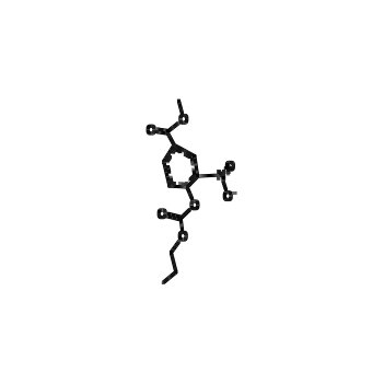 CCCOC(=O)Oc1ccc(C(=O)OC)cc1[N+](=O)[O-]